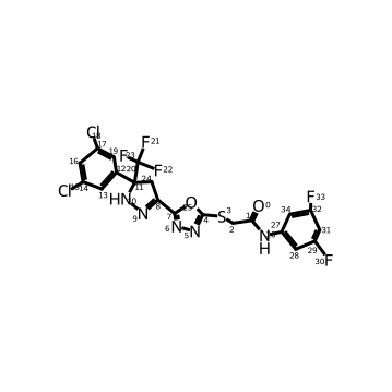 O=C(CSc1nnc(C2=NNC(c3cc(Cl)cc(Cl)c3)(C(F)(F)F)C2)o1)Nc1cc(F)cc(F)c1